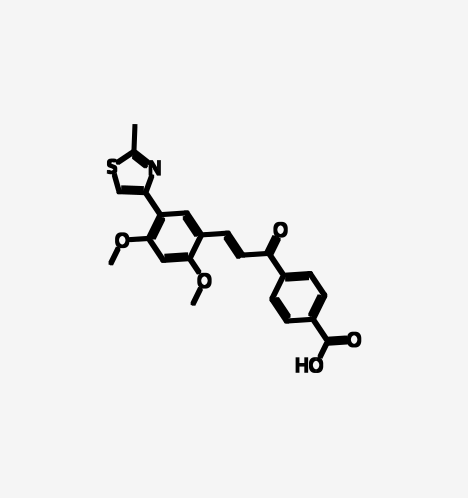 COc1cc(OC)c(-c2csc(C)n2)cc1C=CC(=O)c1ccc(C(=O)O)cc1